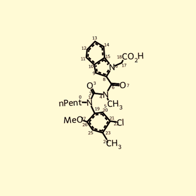 CCCCCN(C(=O)N(C)C(=O)c1cc2ccccc2n1CC(=O)O)c1cc(Cl)c(C)cc1OC